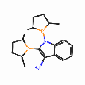 CC1CCC(C)P1c1c(N)c2ccccc2n1P1C(C)CCC1C